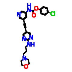 O=C(Nc1cncc(C#Cc2cnc(NCCCN3CCOCC3)nc2)c1)Oc1ccc(Cl)cc1